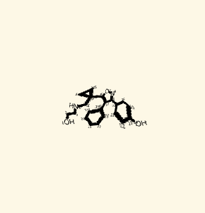 OCCNCC1(c2onc(-c3ccc(O)cc3)c2-c2ccccc2)CC1